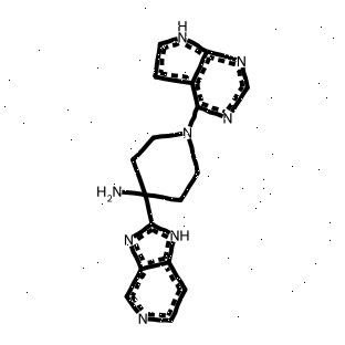 NC1(c2nc3cnccc3[nH]2)CCN(c2ncnc3[nH]ccc23)CC1